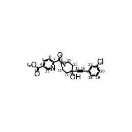 COC(=O)c1ccc(C(=O)N2CCC(O)(C#Cc3cccc(Cl)c3)CC2)nc1